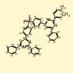 C/C=C\C(=C/C)c1nc(-c2ccccc2)cc(-c2ccc3c(c2)-c2cc(-c4cc(-c5ccccc5)nc(-c5ccccc5)n4)ccc2C3(F)F)n1